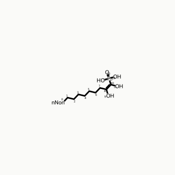 CCCCCCCCCCCCCCCCC(O)=C(O)P(=O)(O)O